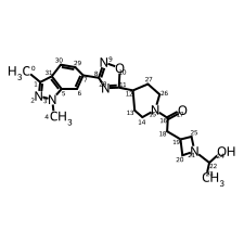 Cc1nn(C)c2cc(-c3noc(C4CCN(C(=O)CC5CN(C(C)O)C5)CC4)n3)ccc12